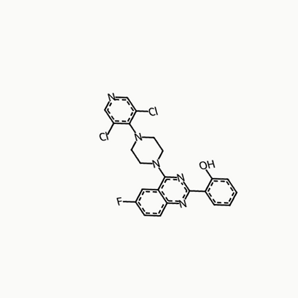 Oc1ccccc1-c1nc(N2CCN(c3c(Cl)cncc3Cl)CC2)c2cc(F)ccc2n1